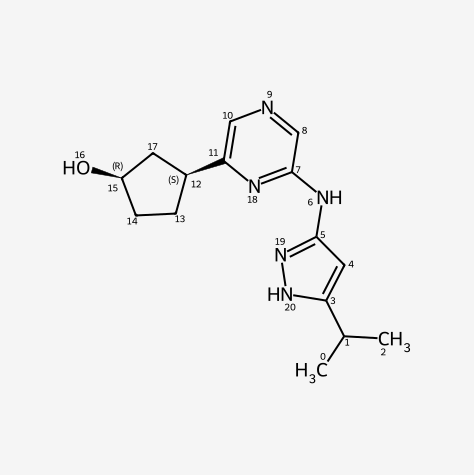 CC(C)c1cc(Nc2cncc([C@H]3CC[C@@H](O)C3)n2)n[nH]1